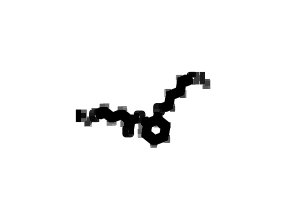 C=CCCCOC1CCCCC1OC(=O)CCC=C